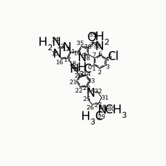 Cc1ccc(Cl)cc1-c1[nH]c(-c2nc(N)ncc2C#Cc2ccc(N3CCC(N(C)C)CC3)cc2)cc1C(N)=O